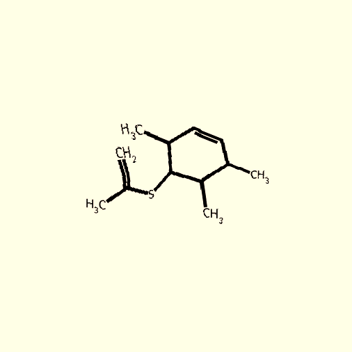 C=C(C)SC1C(C)C=CC(C)C1C